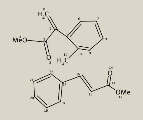 C=C(C(=O)OC)c1ccccc1C.COC(=O)C=Cc1ccccc1